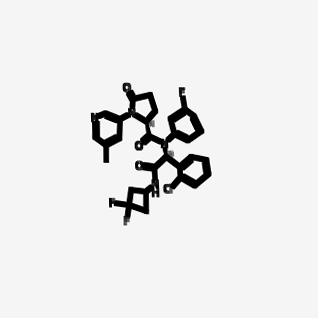 Cc1cncc(N2C(=O)CC[C@H]2C(=O)N(c2cccc(F)c2)[C@H](C(=O)NC2CC(F)(F)C2)c2ccccc2Cl)c1